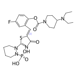 CCN(CC)C1CCN(C(=O)Oc2ccc(F)cc2/C=C2\SC(N3CCCCN3P(=O)(O)O)=NC2=O)CC1